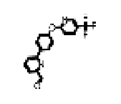 O=Cc1cccc(-c2ccc(Oc3ccc(C(F)(F)F)cn3)cc2)n1